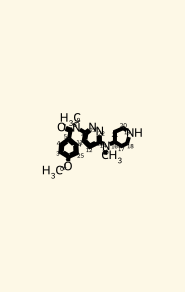 COc1ccc(C(=O)N(C)c2ccc(N(C)C3CCNCC3)nn2)cc1